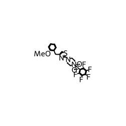 COc1ccccc1Cc1csc(N2CCN(S(=O)(=O)c3c(F)c(F)c(F)c(F)c3F)CC2)n1